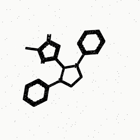 Cc1nc(C2N(c3ccccc3)CCN2c2ccccc2)c[nH]1